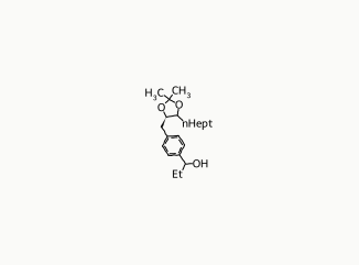 CCCCCCCC1OC(C)(C)O[C@@H]1Cc1ccc(C(O)CC)cc1